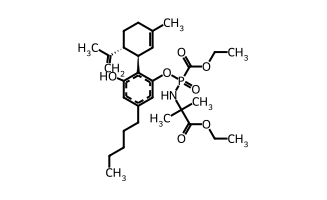 C=C(C)[C@@H]1CCC(C)=C[C@H]1c1c(O)cc(CCCCC)cc1OP(=O)(NC(C)(C)C(=O)OCC)C(=O)OCC